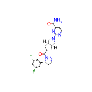 NC(=O)c1ccnc(N2C[C@H]3CC(C(=O)N4N=CC[C@H]4c4cc(F)cc(F)c4)C[C@H]3C2)n1